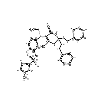 CC[C@H](C1=C(O)CC(CCc2ccccc2)(CCc2ccccc2)OC1=O)c1cccc(NS(=O)(=O)c2cn(C)cn2)c1